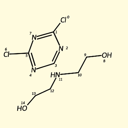 Clc1ncnc(Cl)n1.OCCNCCO